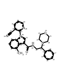 Cc1cccc2c1c(C(=O)NCC(c1ccccc1)N1CCOCC1)cn2-c1ncccc1C#N